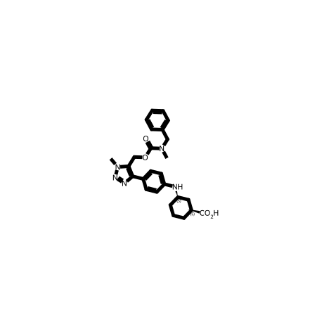 CN(Cc1ccccc1)C(=O)OCc1c(-c2ccc(N[C@H]3CCC[C@H](C(=O)O)C3)cc2)nnn1C